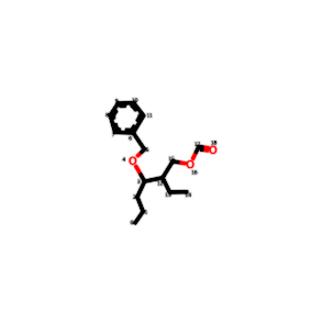 CCCC(OCc1ccccc1)C(CC)COC=O